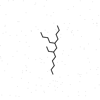 CCCCCC([CH]C(CCCC)CCCC)CC